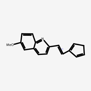 COc1ccc2nc(/C=C/C3=CCC=C3)ccc2c1